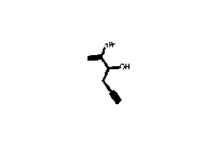 C#CCC(O)C(=C)CCC